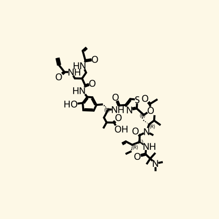 C#CC(=O)NCC(CNC(=O)C=C)C(=O)Nc1cc(C[C@@H](CC(C)C(=O)O)NC(=O)c2csc([C@@H](C[C@H](C(C)C)N(C)C(=O)[C@@H](NC(=O)C(C)(C)N(C)C)[C@@H](C=C)CC)OC(C)=O)n2)ccc1O